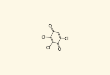 O=C1C=C(Cl)C(=O)C(Cl)=C1Cl